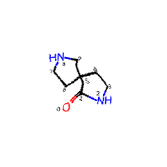 O=C1NCCC12CCNC2